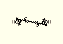 CC(C)(C)c1cc(CCC(=O)OCCCCCCOC(=O)CCc2cc(C(C)(C)C)c(O)c(C(C)(C)C)c2)cc(C(C)(C)C)c1O